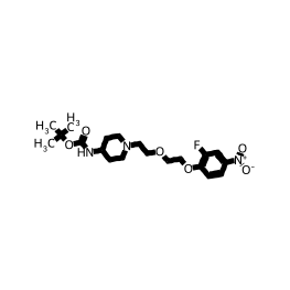 CC(C)(C)OC(=O)NC1CCN(CCOCCOc2ccc([N+](=O)[O-])cc2F)CC1